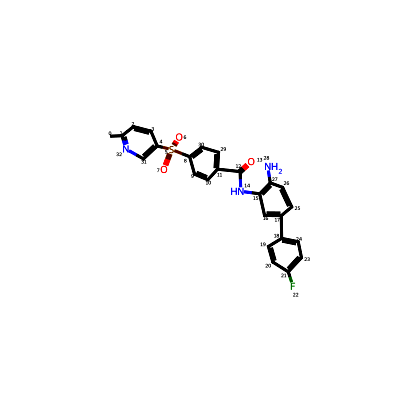 Cc1ccc(S(=O)(=O)c2ccc(C(=O)Nc3cc(-c4ccc(F)cc4)ccc3N)cc2)cn1